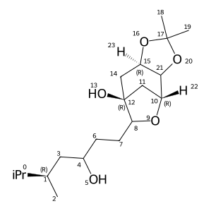 CC(C)[C@H](C)CC(O)CCC1O[C@@H]2C[C@@]1(O)C[C@H]1OC(C)(C)OC21